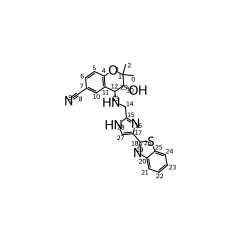 CC1(C)Oc2ccc(C#N)cc2[C@H](NCc2nc(-c3nc4ccccc4s3)c[nH]2)[C@H]1O